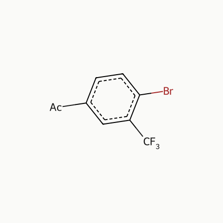 CC(=O)c1ccc(Br)c(C(F)(F)F)c1